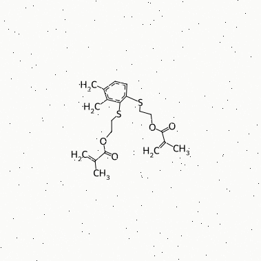 [CH2]c1ccc(SCCOC(=O)C(=C)C)c(SCCOC(=O)C(=C)C)c1[CH2]